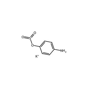 Nc1ccc(O[S-](=O)=O)cc1.[K+]